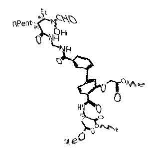 CCCCC[C@@H](C(=O)NCNC(=O)c1cccc(-c2ccc(C(=O)N[C@@H](CC(=O)OC)C(=O)OC)c(OCC(=O)OC)c2)c1)[C@@H](CC)N(O)C=O